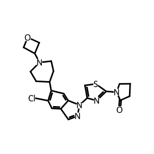 O=C1CCCN1c1nc(-n2ncc3cc(Cl)c(C4CCN(C5COC5)CC4)cc32)cs1